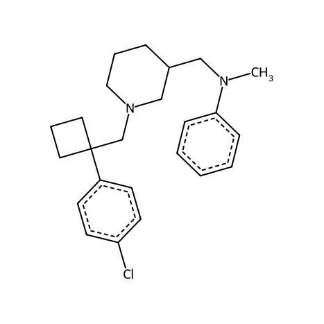 CN(CC1CCCN(CC2(c3ccc(Cl)cc3)CCC2)C1)c1ccccc1